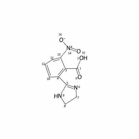 O=C(O)c1c(C2=NCCN2)cccc1[N+](=O)[O-]